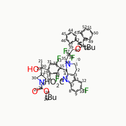 C[C@@H]1Cc2c(n(C(=O)O)c3ccc(F)cc23)[C@@H](c2c(F)cc(C(C)(O)C3CN(C(=O)OC(C)(C)C)C3)cc2F)N1CC(F)(F)CO[Si](c1ccccc1)(c1ccccc1)C(C)(C)C